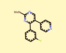 CNc1ncc(-c2ccncc2)c(-c2cccc(F)c2)n1